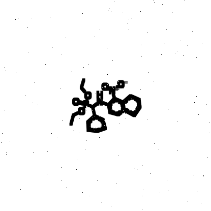 CCOP(=O)(OCC)C(Nc1ccc2ccccc2c1[N+](=O)[O-])c1ccccc1